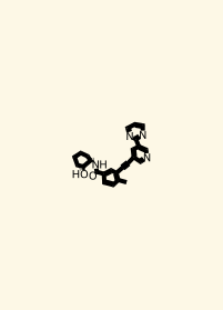 Cc1ccc(C(=O)N[C@H]2CCCC[C@@H]2O)cc1C#Cc1cncc(-c2ncccn2)c1